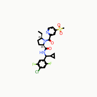 CC[C@@H]1CC[C@H](C(=O)NC(c2cc(F)c(Cl)cc2F)C2CC2)N1C(=O)c1cc(S(C)(=O)=O)ccn1